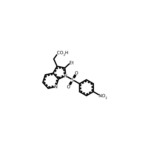 CCc1c(CC(=O)O)c2cccnc2n1S(=O)(=O)c1ccc([N+](=O)[O-])cc1